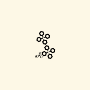 [H+].[O-]P([O-])[O-].c1ccc([P+](c2ccccc2)(c2ccccc2)c2ccccc2)cc1.c1ccc([P+](c2ccccc2)(c2ccccc2)c2ccccc2)cc1